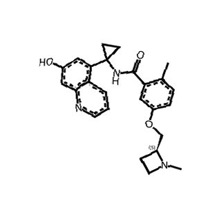 Cc1ccc(OC[C@@H]2CCN2C)cc1C(=O)NC1(c2cc(O)cc3ncccc23)CC1